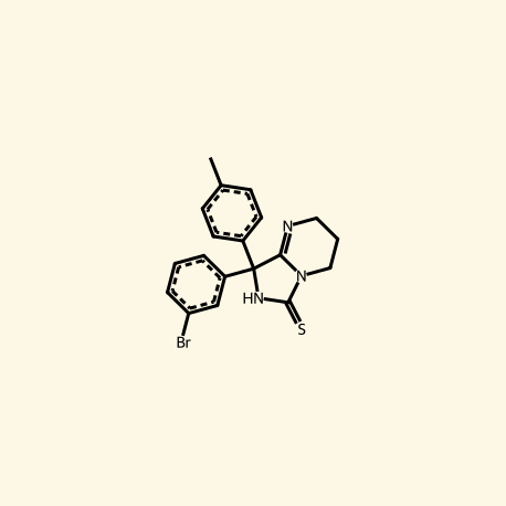 Cc1ccc(C2(c3cccc(Br)c3)NC(=S)N3CCCN=C32)cc1